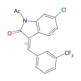 CC(=O)N1C(=O)/C(=C/c2cccc(C(F)(F)F)c2)c2ccc(Cl)cc21